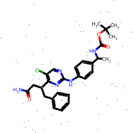 CC(NC(=O)OC(C)(C)C)c1ccc(Nc2ncc(Cl)c(C(CC(N)=O)Cc3ccccc3)n2)cc1